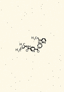 CCNc1cccnc1N1CCN(C(=O)c2ccc(C(=O)NC(C)COC)cn2)CC1